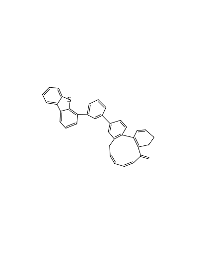 C=C1/C=C\C=C/Cc2cc(-c3cccc(-c4cccc5c4sc4ccccc45)c3)ccc2C2=C1CCC=C2